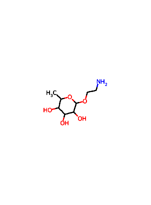 CC1OC(OCCN)C(O)C(O)C1O